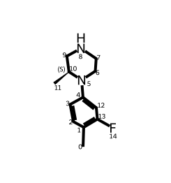 Cc1ccc(N2CCNC[C@@H]2C)cc1F